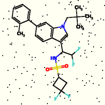 Cc1ccccc1-c1ccc2c(C(NS(=O)(=O)C3CC(F)(F)C3)C(F)F)cn(CC(C)(C)C)c2c1